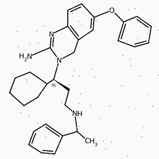 CC(NCC[C@@H](C1CCCCC1)N1Cc2cc(Oc3ccccc3)ccc2N=C1N)c1ccccc1